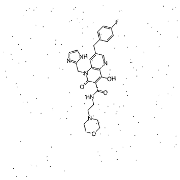 O=C(NCCN1CCOCC1)c1c(O)c2ncc(Cc3ccc(F)cc3)cc2n(Cc2ncc[nH]2)c1=O